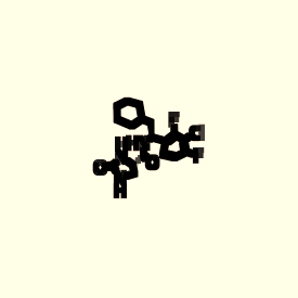 O=C1NC[C@@H](C(=O)N[C@@H](CC2CCCCC2)c2ccc(F)c(Cl)c2F)N1